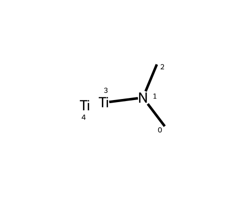 C[N](C)[Ti].[Ti]